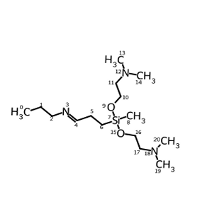 CCCN=CCC[Si](C)(OCCN(C)C)OCCN(C)C